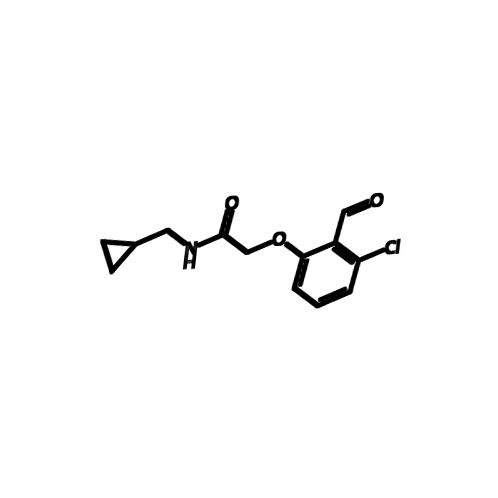 O=Cc1c(Cl)cccc1OCC(=O)NCC1CC1